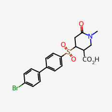 CN1CC(C(=O)O)C(S(=O)(=O)c2ccc(-c3ccc(Br)cc3)cc2)CC1=O